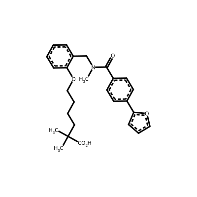 CN(Cc1ccccc1OCCCCC(C)(C)C(=O)O)C(=O)c1ccc(-c2ccco2)cc1